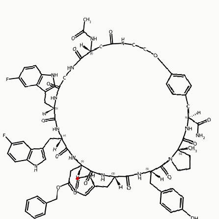 CC(=O)N[C@@H]1CC(=O)NCCOc2ccc(cc2)C[C@@H](C(N)=O)NC(=O)[C@]2(C)CCCN2C(=O)[C@H](Cc2ccc(O)cc2)NC(=O)[C@H](Cc2cnc[nH]2)NC(=O)[C@H](CC(=O)OCc2ccccc2)NC(=O)[C@H](Cc2c[nH]c3ccc(F)cc23)NC(=O)[C@H](Cc2c[nH]c3ccc(F)cc23)NC(=O)CNC1=O